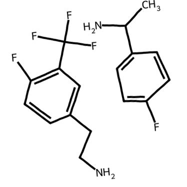 CC(N)c1ccc(F)cc1.NCCc1ccc(F)c(C(F)(F)F)c1